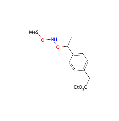 CCOC(=O)Cc1ccc(C(C)ONOSC)cc1